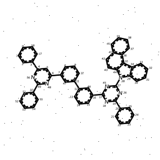 c1ccc(-c2cc(-c3cccc(-c4cccc(-c5nc(-c6ccccc6)nc(-n6c7ccccc7c7c8ccccc8ccc76)n5)c4)c3)nc(-c3ccccc3)n2)cc1